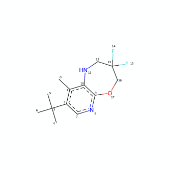 Cc1c(C(C)(C)C)cnc2c1NCC(F)(F)CO2